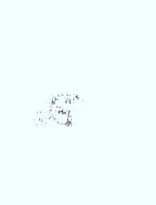 CCCCCCOc1ccc(S(=O)(=O)NCCNCc2c(O)cc3c(c2O)-c2cc(ccc2O)[C@H]2CC(=O)[C@@H]4NC(=O)[C@H](CC(N)=O)CC(=O)[C@H](NC(=O)[C@H](CC)CC(C)C)[C@H](O)c5ccc(c(Cl)c5)Oc5cc4cc(c5O[C@@H]4O[C@H](CO)[C@@H](O)[C@H](O)[C@H]4O[C@H]4C[C@](C)(N)[C@H](O)[C@H](C)O4)Oc4ccc(cc4Cl)[C@@H](O)[C@H](NC2=O)C(=O)N[C@@H]3C(=O)O)cc1